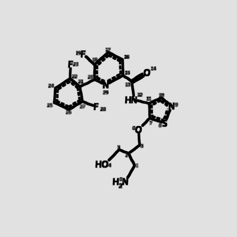 NCC(CO)COc1sncc1NC(=O)c1ccc(F)c(-c2c(F)cccc2F)n1